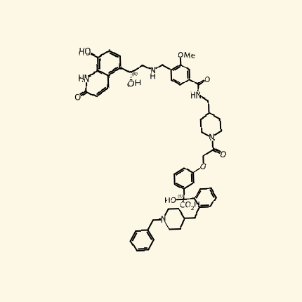 COc1cc(C(=O)NCC2CCN(C(=O)COc3cccc([C@@](O)(C(=O)O)c4ccccc4CC4CCN(Cc5ccccc5)CC4)c3)CC2)ccc1CNC[C@H](O)c1ccc(O)c2[nH]c(=O)ccc12